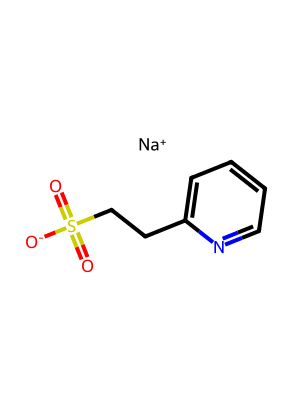 O=S(=O)([O-])CCc1ccccn1.[Na+]